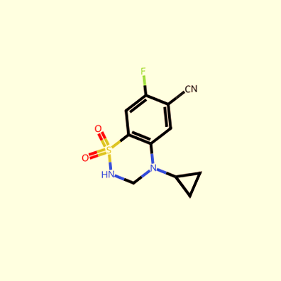 N#Cc1cc2c(cc1F)S(=O)(=O)NCN2C1CC1